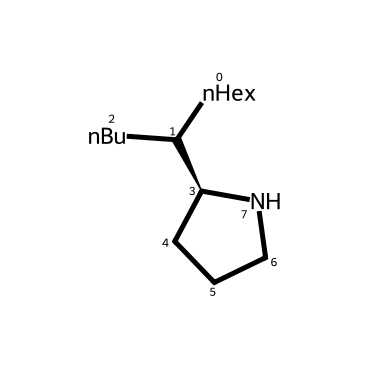 CCCCCCC(CCCC)[C@@H]1CCCN1